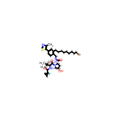 Cc1ncsc1-c1ccc(CNC(=O)[C@@H]2C[C@@H](O)CN2C(=O)[C@@H](NC(=O)C2(F)CC2)C(C)(C)C)c(CCCCCCCCCBr)c1